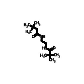 CC(C)(C)CC(=O)NCCNC(=O)C(C)(C)C